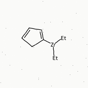 C[CH2][Zr]([CH2]C)[C]1=CC=CC1